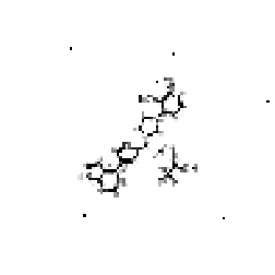 N#CC[C@@H]([C@H]1CCN(c2cccc(C#N)c2C#N)C1)n1cc(-c2ncnc3[nH]ccc23)cn1.O=C(O)C(F)(F)F